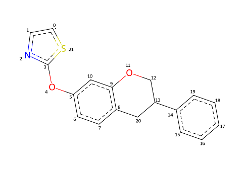 [c]1cnc(Oc2ccc3c(c2)OCC(c2ccccc2)C3)s1